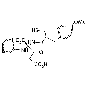 COc1ccc(CC(CS)C(=O)N[C@](CCC(=O)O)(Nc2ccccc2)C(=O)O)cc1